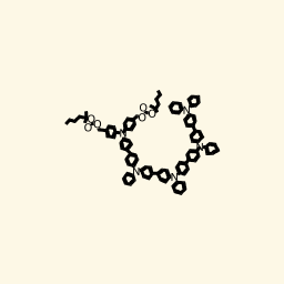 CCCCC(C)(C)OC(=O)OCc1ccc(N(c2ccc(COC(=O)OC(C)(C)CCCC)cc2)c2ccc(-c3ccc(N(c4ccccc4)c4ccc(-c5ccc(N(c6ccccc6)c6ccc(-c7ccc(N(c8ccccc8)c8ccc(-c9ccc(N(c%10ccccc%10)c%10ccccc%10)cc9)cc8)cc7)cc6)cc5)cc4)cc3)cc2)cc1